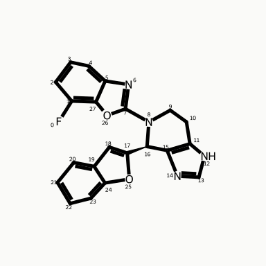 Fc1cccc2nc(N3CCc4[nH]cnc4[C@H]3c3cc4ccccc4o3)oc12